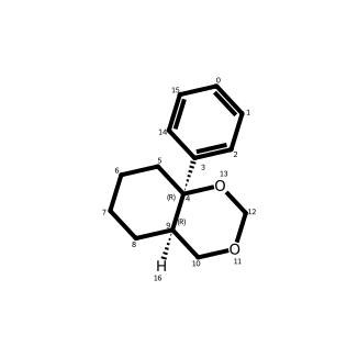 c1ccc([C@@]23CCCC[C@@H]2COCO3)cc1